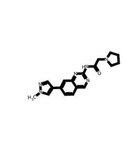 Cn1cc(-c2ccc3cnc(NC(=O)CN4CCCC4)nc3c2)cn1